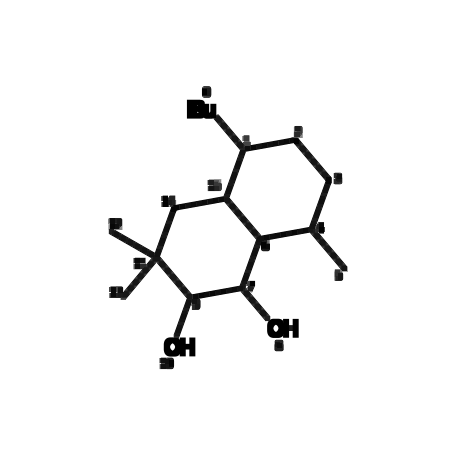 CCC(C)C1CCC(C)C2C(O)C(O)C(C)(C)CC12